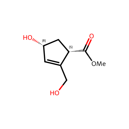 COC(=O)[C@H]1C[C@@H](O)C=C1CO